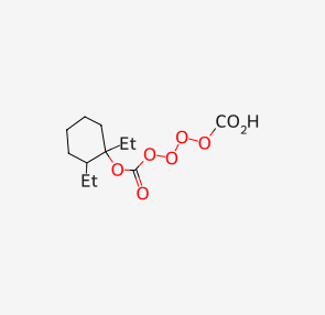 CCC1CCCCC1(CC)OC(=O)OOOOC(=O)O